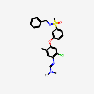 CCN(C)C=Nc1cc(C)c(Oc2cccc(S(C)(=O)=NCc3ccccc3)c2)cc1Cl